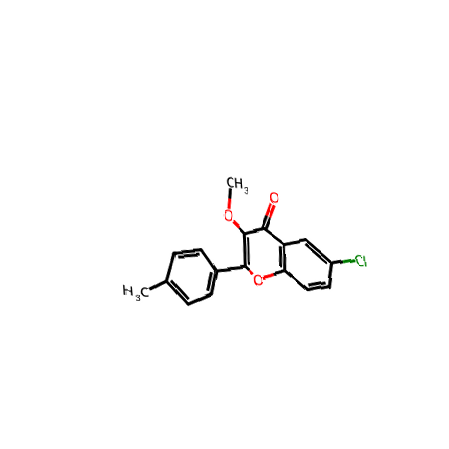 COc1c(-c2ccc(C)cc2)oc2ccc(Cl)cc2c1=O